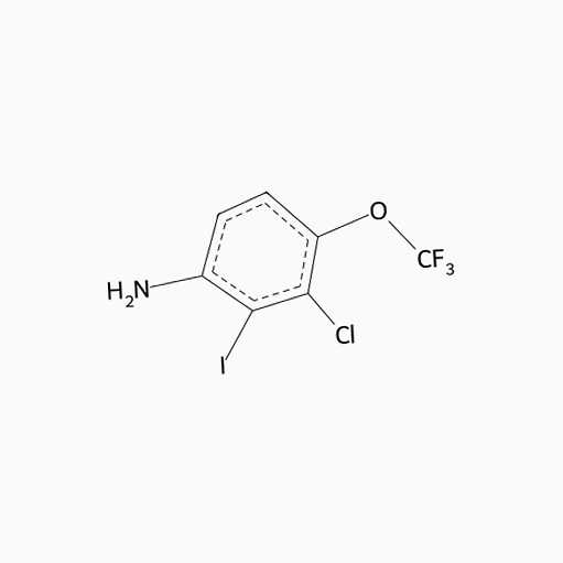 Nc1ccc(OC(F)(F)F)c(Cl)c1I